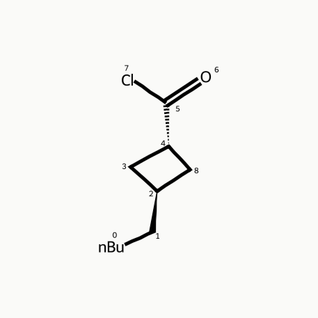 CCCCC[C@H]1C[C@H](C(=O)Cl)C1